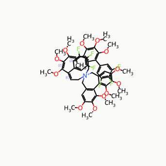 COC1=C(OC)/C(c2cc(F)c(F)c(F)c2)=C/C[N+]2(Cc3cc(OC)c(OC)c(OC)c3-c3c(cc(OC)c(OC)c3OC)C2)Cc2c(c(OC)c(OC)c(OC)c2-c2cc(F)c(F)c(F)c2)\C(C)=C\1OC